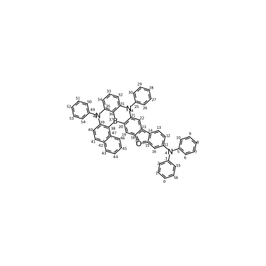 c1ccc(N(c2ccccc2)c2ccc3c(c2)oc2cc4c(cc23)N(c2ccccc2)c2cccc3c2B4c2c(ccc4ccccc24)N3c2ccccc2)cc1